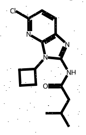 CC(C)CC(=O)Nc1nc2ccc(Cl)nc2n1C1CCC1